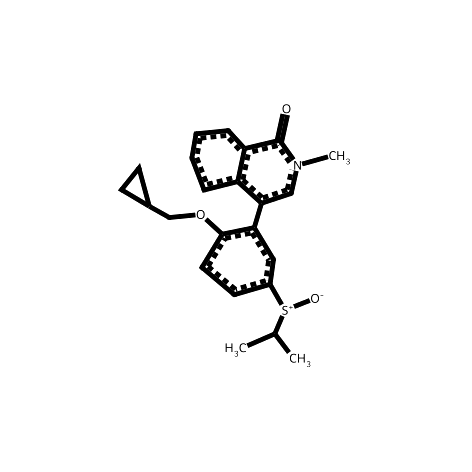 CC(C)[S+]([O-])c1ccc(OCC2CC2)c(-c2cn(C)c(=O)c3ccccc23)c1